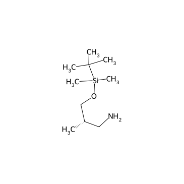 C[C@@H](CN)CO[Si](C)(C)C(C)(C)C